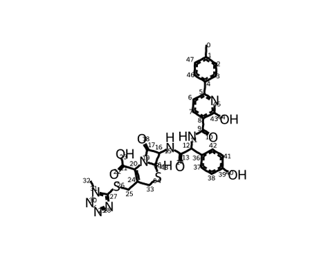 Cc1ccc(-c2ccc(C(=O)NC(C(=O)NC3C(=O)N4C(C(=O)O)=C(CSc5nnnn5C)CS[C@H]34)c3ccc(O)cc3)c(O)n2)cc1